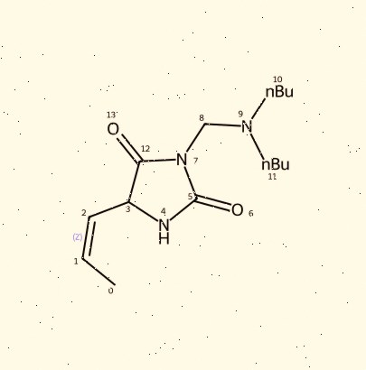 C/C=C\C1NC(=O)N(CN(CCCC)CCCC)C1=O